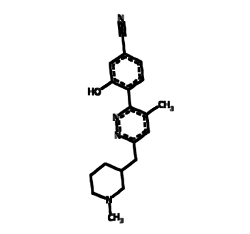 Cc1cc(CC2CCCN(C)C2)nnc1-c1ccc(C#N)cc1O